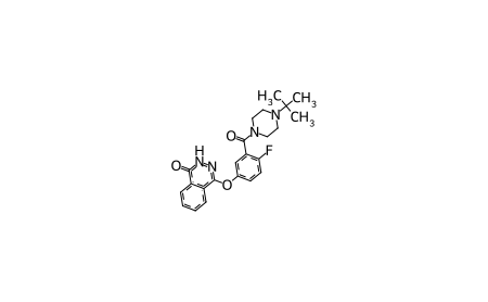 CC(C)(C)N1CCN(C(=O)c2cc(Oc3n[nH]c(=O)c4ccccc34)ccc2F)CC1